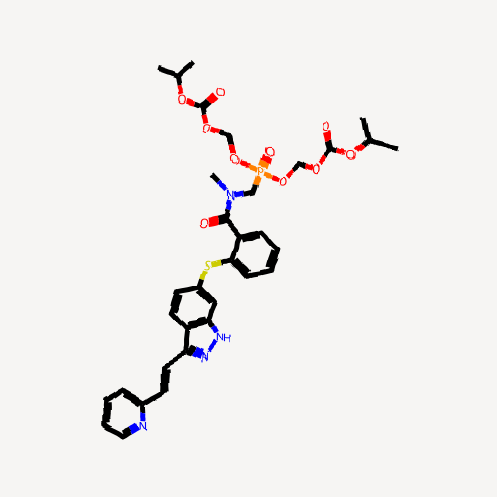 CC(C)OC(=O)OCOP(=O)(CN(C)C(=O)c1ccccc1Sc1ccc2c(/C=C/c3ccccn3)n[nH]c2c1)OCOC(=O)OC(C)C